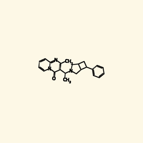 Cc1nc2ccccn2c(=O)c1C(C)N1CC2CC(c3ccccc3)C2C1